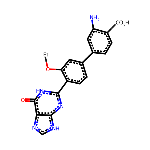 CCOc1cc(-c2ccc(C(=O)O)c(N)c2)ccc1-c1nc2[nH]cnc2c(=O)[nH]1